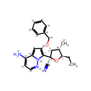 CC[C@H]1O[C@@](C#N)(c2ccc3c(N)ccnn23)[C@H](OCc2ccccc2)[C@@H]1C